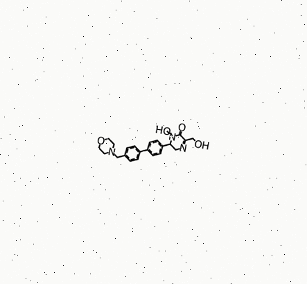 O=C1C(CO)=NCC(c2ccc(-c3ccc(CN4CCOCC4)cc3)cc2)N1O